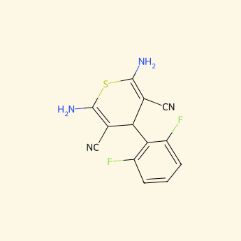 N#CC1=C(N)SC(N)=C(C#N)C1c1c(F)cccc1F